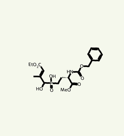 CCOC(=O)C=C(C)C(O)P(=O)(O)CC[C@H](NC(=O)OCc1ccccc1)C(=O)OC